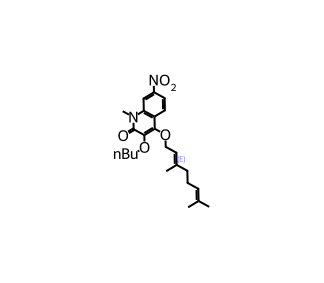 CCCCOc1c(OC/C=C(\C)CCC=C(C)C)c2ccc([N+](=O)[O-])cc2n(C)c1=O